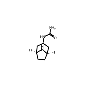 NC(=O)N[C@H]1C[C@H]2CC[C@@H](C1)N2